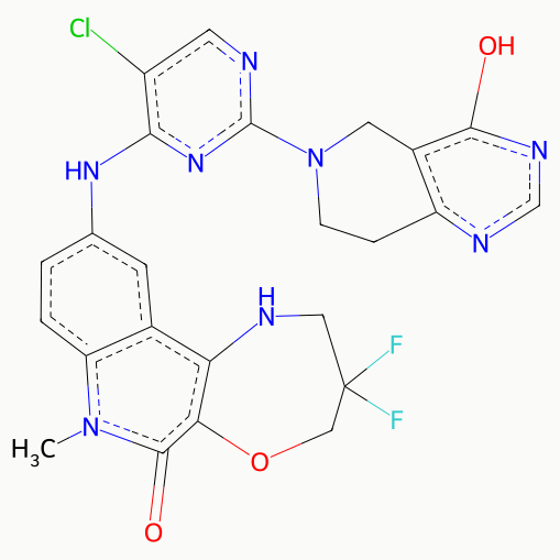 Cn1c(=O)c2c(c3cc(Nc4nc(N5CCc6ncnc(O)c6C5)ncc4Cl)ccc31)NCC(F)(F)CO2